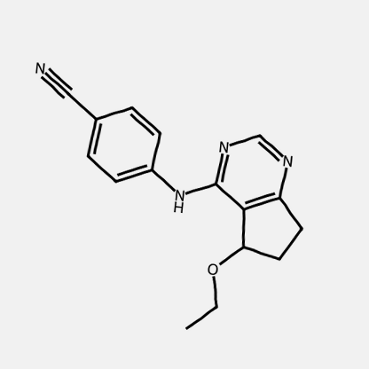 CCOC1CCc2ncnc(Nc3ccc(C#N)cc3)c21